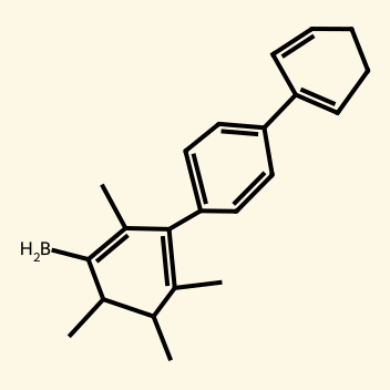 BC1=C(C)C(c2ccc(C3=CCCC=C3)cc2)=C(C)C(C)C1C